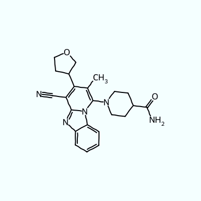 Cc1c(C2CCOC2)c(C#N)c2nc3ccccc3n2c1N1CCC(C(N)=O)CC1